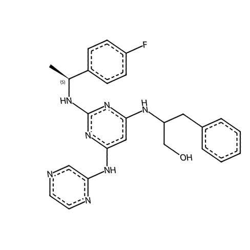 C[C@H](Nc1nc(Nc2cnccn2)cc(NC(CO)Cc2ccccc2)n1)c1ccc(F)cc1